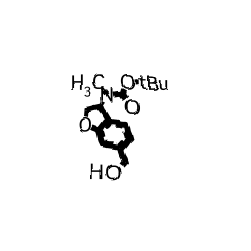 CN(C(=O)OC(C)(C)C)[C@@H]1COc2cc(CO)ccc21